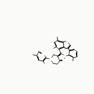 CCc1cccc(CC)c1-n1nc2c(c1-c1c(F)cc(Cl)c3[nH]ccc13)CN(c1ncc(C(C)C)cc1F)CC2